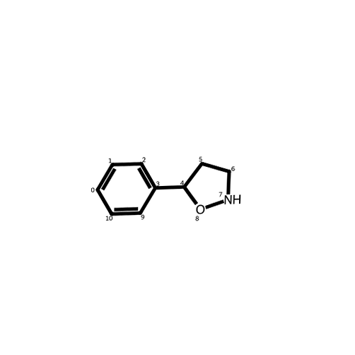 c1ccc(C2CCNO2)cc1